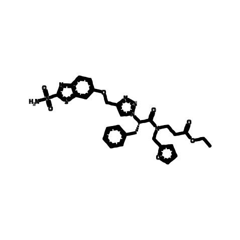 CCOC(=O)CCN(Cc1ccco1)C(=O)[C@H](Cc1ccccc1)n1cc(COc2ccc3nc(S(N)(=O)=O)sc3c2)nn1